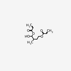 C=CC(=O)OCCC(C)C(O)OC(=O)C=C